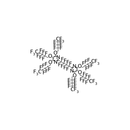 FC(F)(F)C(F)(F)C(F)(F)C(F)(F)COc1nc(C(F)(F)C(F)(F)C(F)(F)C(F)(F)c2nc(OCC(F)(F)C(F)(F)C(F)(F)C(F)(F)F)c(OCC(F)(F)C(F)(F)C(F)(F)C(F)(F)F)c(OCC(F)(F)C(F)(F)C(F)(F)C(F)(F)F)n2)nc(OCC(F)(F)C(F)(F)C(F)(F)C(F)(F)F)c1OCC(F)(F)C(F)(F)C(F)(F)C(F)(F)F